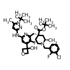 Cc1cc(Nc2cc(C3(O)COC3)c(F)c(C[C@@]3(C(=O)OC(C)(C)C)CCN(Cc4cccc(Cl)c4F)[C@H](C)C3)n2)nn1C(C)(C)C